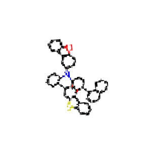 c1ccc(N(c2ccc(-c3cccc4ccccc34)cc2)c2ccc3oc4ccccc4c3c2)c(-c2ccc3c(c2)sc2ccccc23)c1